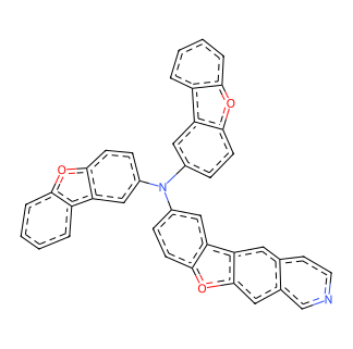 c1ccc2c(c1)oc1ccc(N(c3ccc4oc5ccccc5c4c3)c3ccc4oc5cc6cnccc6cc5c4c3)cc12